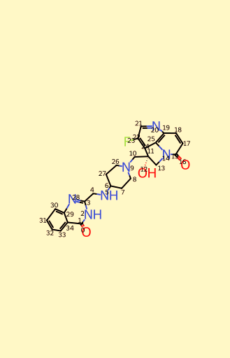 O=c1[nH]c(CNC2CCN(C[C@]3(O)Cn4c(=O)ccc5ncc(F)c3c54)CC2)nc2ccccc12